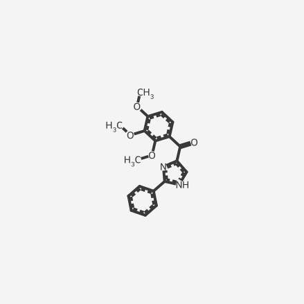 COc1ccc(C(=O)c2c[nH]c(-c3ccccc3)n2)c(OC)c1OC